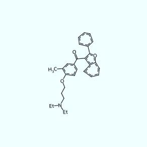 CCN(CC)CCCOc1ccc(C(=O)c2c(-c3ccccc3)oc3ccccc23)cc1C